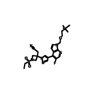 CCS(=O)(=O)N1CC(CC#N)(n2cc(-c3c(F)cnc4c3ccn4COCC[Si](C)(C)C)cn2)C1